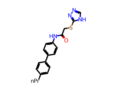 CCCc1ccc(-c2ccc(NC(=O)CSc3nnc[nH]3)cc2)cc1